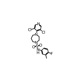 Cc1cc(NS(=O)(=O)N2CCCN(c3c(Cl)cncc3Cl)CC2)ccc1F